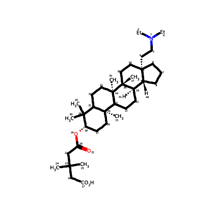 CCN(CC)CC[C@]12CCC[C@@H]1[C@H]1CCC3[C@@]4(C)CC[C@H](OC(=O)CC(C)(C)CC(=O)O)C(C)(C)C4CC[C@@]3(C)[C@]1(C)CC2